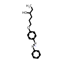 CCC(O)CCCOc1ccc(/N=N/c2ccccc2)cc1